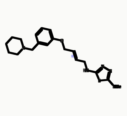 CNc1nnc(NC/C=C/COc2cccc(CN3CCCCC3)c2)s1